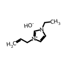 C=CC[n+]1ccn(CC)c1.[OH-]